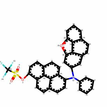 O=S(=O)(Oc1ccc2ccc3c(N(c4ccccc4)c4cc5ccc6cccc7oc(c4)c5c67)ccc4ccc1c2c43)C(F)(F)F